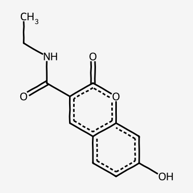 CCNC(=O)c1cc2ccc(O)cc2oc1=O